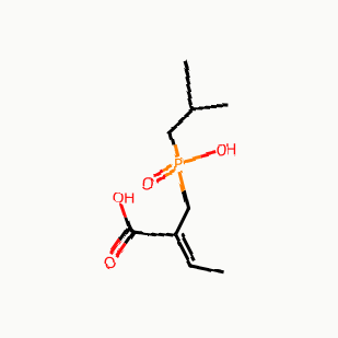 C/C=C(\CP(=O)(O)CC(C)C)C(=O)O